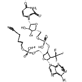 N#CCCCOP(=O)(O)OC[C@H]1O[C@@H](n2cnc3c(N)ncnc32)C(C(F)(F)F)C1OP(=O)(O)OC[C@H]1O[C@@H](n2ccc(=O)[nH]c2=O)C(O)C1O